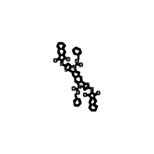 O=C(OCc1ccccc1)n1c2c(c3sc(N=c4c(=O)c5cc6ccccc6cc5c4=O)cc31)=CC1C=c3c(c4sc(N=c5c(=O)c6cc7ccccc7cc6c5=O)cc4n3C(=O)OCc3ccccc3)=CC1C=2